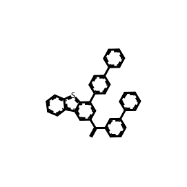 C=C(c1cccc(-c2ccccc2)c1)c1cc(-c2ccc(-c3ccccc3)cc2)c2sc3ccccc3c2c1